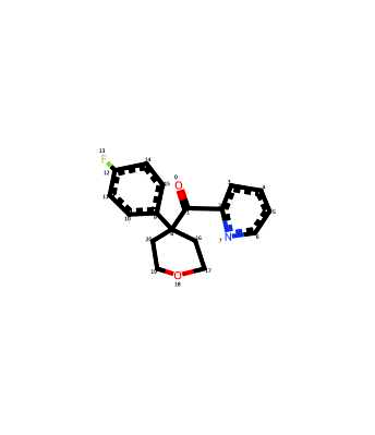 O=C(c1ccccn1)C1(c2ccc(F)cc2)CCOCC1